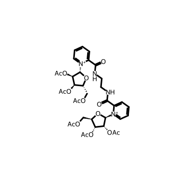 CC(=O)OC[C@H]1O[C@@H]([n+]2ccccc2C(=O)NCCNC(=O)c2cccc[n+]2[C@@H]2O[C@H](COC(C)=O)[C@@H](OC(C)=O)[C@H]2OC(C)=O)[C@H](OC(C)=O)[C@@H]1OC(C)=O